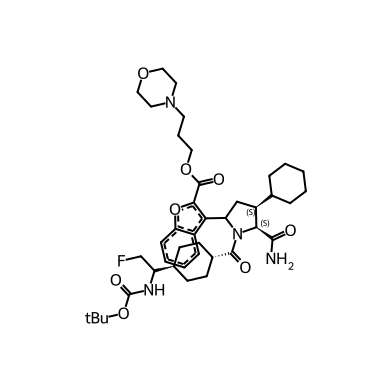 CC(C)(C)OC(=O)NC(CF)[C@H]1CC[C@H](C(=O)N2C(c3c(C(=O)OCCCN4CCOCC4)oc4ccccc34)C[C@@H](C3CCCCC3)[C@H]2C(N)=O)CC1